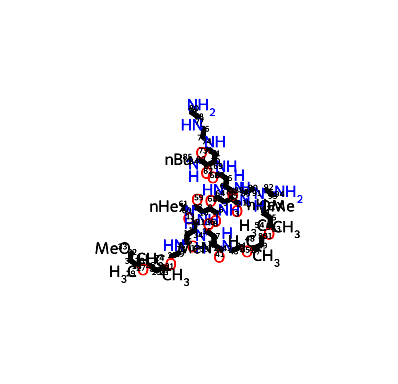 CCCCCCNC(=O)CC(NC(=O)CC(NC(=O)C(CC(=O)NCCOC(C)(C)CCOC(C)(C)CCOC)NC(=O)CC(NC)C(=O)NCCOC(C)(C)CCOC(C)(C)CCOC)C(=O)NCCCCCC)C(=O)NC(CC(=O)NC(CC(=O)NCCNCCN)C(=O)CNCCCC)C(=O)NCCNCCN